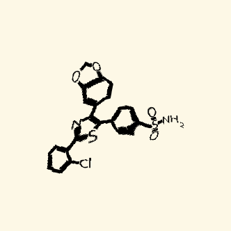 NS(=O)(=O)c1ccc(-c2sc(-c3ccccc3Cl)nc2-c2ccc3c(c2)OCO3)cc1